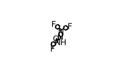 O=C(CN1CCN(C(c2ccc(F)cc2)c2ccc(F)cc2)CC1)Nc1cccc(F)c1